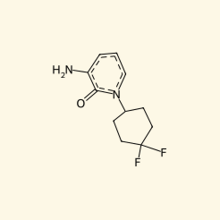 Nc1cccn(C2CCC(F)(F)CC2)c1=O